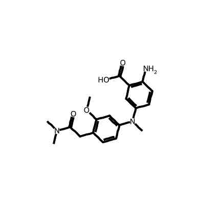 COc1cc(N(C)c2ccc(N)c(C(=O)O)c2)ccc1CC(=O)N(C)C